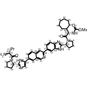 COC(=O)N[C@H](C(=O)N1CCC[C@H]1c1nc2ccc(-c3cc4ccc(-c5cnc([C@@H]6CCCN6C(=O)[C@@H](N)C(C)C)[nH]5)cc4cn3)cc2[nH]1)C1CCCCCC1